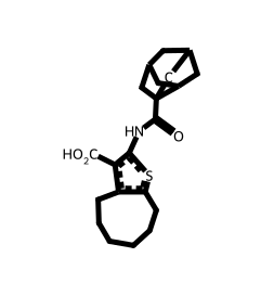 O=C(O)c1c(NC(=O)C23CC4CC(CC2C4)C3)sc2c1CCCCCC2